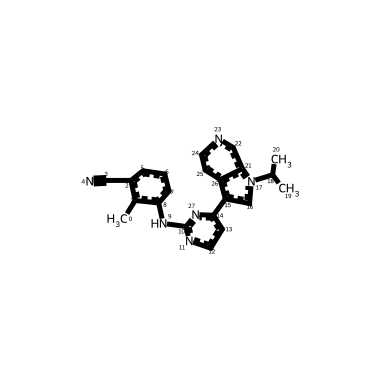 Cc1c(C#N)cccc1Nc1nccc(-c2cn(C(C)C)c3cnccc23)n1